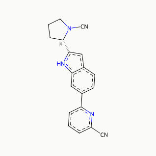 N#Cc1cccc(-c2ccc3cc([C@@H]4CCCN4C#N)[nH]c3c2)n1